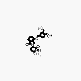 C=C1CCC(N2Cc3c(OCc4ccc(CO)c(CO)c4)cccc3C2=O)C(=O)N1